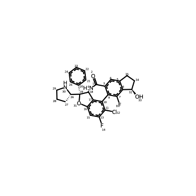 NC(=O)c1cc2c(c(F)c1-c1c(Cl)c(F)cc3c1C[C@](c1ccccc1)([C@@H]1CCCN1)O3)[C@H](O)CC2